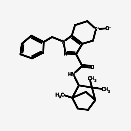 CC12CCC(C1)C(C)(C)C2NC(=O)c1nn(Cc2ccccc2)c2c1C[S+]([O-])CC2